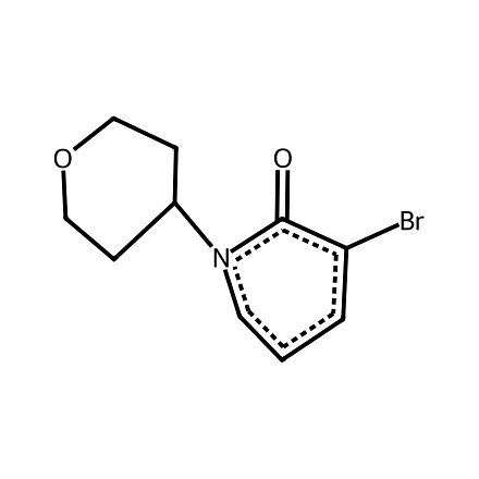 O=c1c(Br)cccn1C1CCOCC1